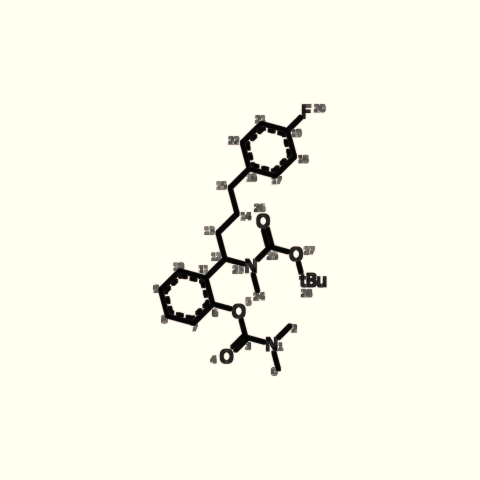 CN(C)C(=O)Oc1ccccc1C(CCCc1ccc(F)cc1)N(C)C(=O)OC(C)(C)C